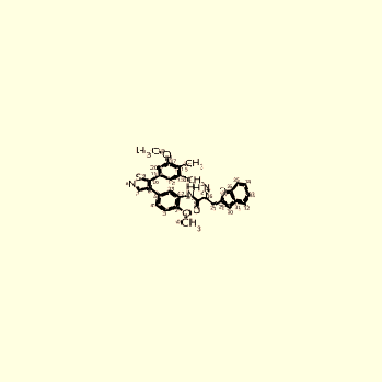 COc1ccc(-c2cnsc2-c2cc(C)c(C)c(OC)c2)cc1NC(=O)[C@@H](N)Cc1cc2ccccc2o1